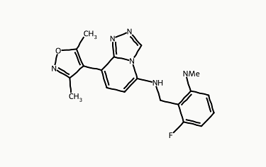 CNc1cccc(F)c1CNc1ccc(-c2c(C)noc2C)c2nncn12